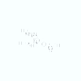 CCNc1ncc2cc(-c3ccc(-c4cncc(C)n4)cc3Cl)c(=O)n(CC[C@@H](O)CO)c2n1